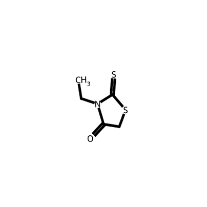 CCN1C(=O)CSC1=S